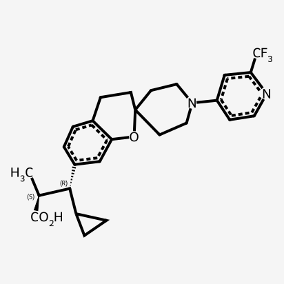 C[C@H](C(=O)O)[C@H](c1ccc2c(c1)OC1(CC2)CCN(c2ccnc(C(F)(F)F)c2)CC1)C1CC1